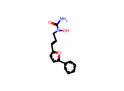 NC(=O)N(O)CC=Cc1ccc(-c2ccccc2)o1